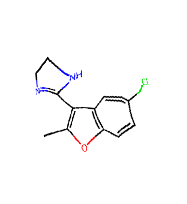 Cc1oc2ccc(Cl)cc2c1C1=NCCN1